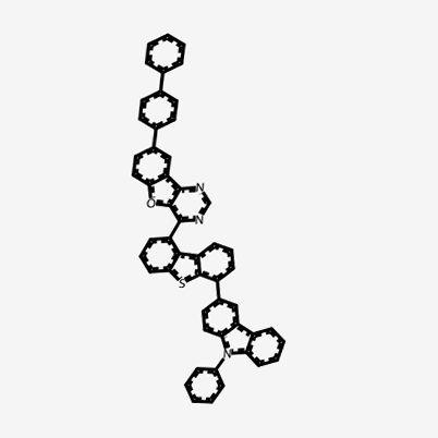 c1ccc(-c2ccc(-c3ccc4oc5c(-c6cccc7sc8c(-c9ccc%10c(c9)c9ccccc9n%10-c9ccccc9)cccc8c67)ncnc5c4c3)cc2)cc1